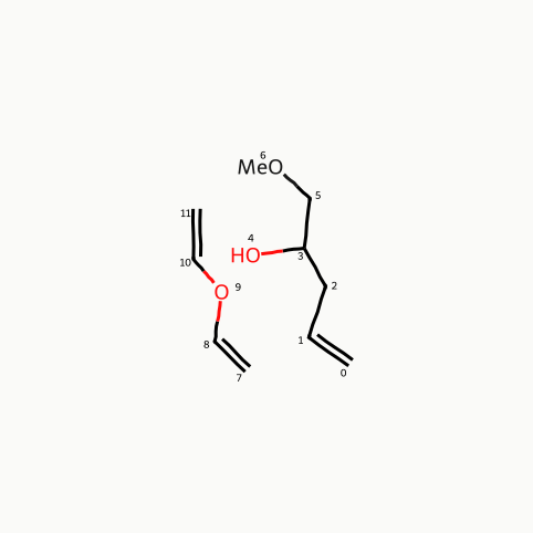 C=CCC(O)COC.C=COC=C